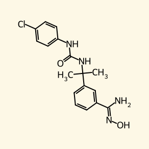 CC(C)(NC(=O)Nc1ccc(Cl)cc1)c1cccc(/C(N)=N/O)c1